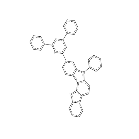 c1ccc(-c2cc(-c3ccccc3)nc(-c3ccc4c5c6oc7ccccc7c6ccc5n(-c5ccccc5)c4c3)c2)cc1